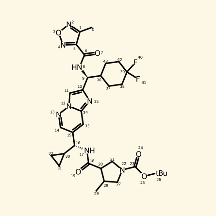 Cc1nonc1C(=O)N[C@H](c1cn2ncc([C@H](NC(=O)C3CN(C(=O)OC(C)(C)C)CC3C)C3CC3)cc2n1)C1CCC(F)(F)CC1